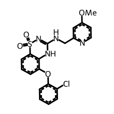 COc1ccnc(CNC2=NS(=O)(=O)c3cccc(Oc4ccccc4Cl)c3N2)c1